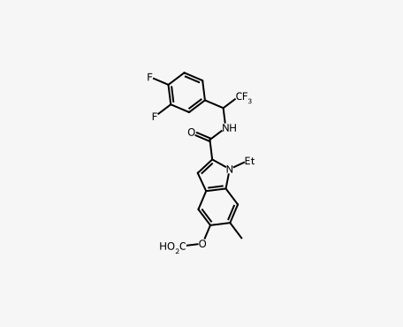 CCn1c(C(=O)NC(c2ccc(F)c(F)c2)C(F)(F)F)cc2cc(OC(=O)O)c(C)cc21